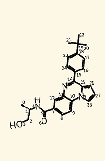 C[C@H](CO)NC(=O)c1ccc2c(c1)nc(-c1ccc(C(C)(C)C)cc1)c1cccn12